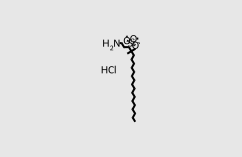 CCCCCCCCCCCCCCCCCC(C)(C)C(CCN)[Si](OC)(OC)OC.Cl